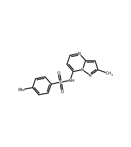 Cc1cc2nccc(NS(=O)(=O)c3ccc(C(C)(C)C)cc3)n2n1